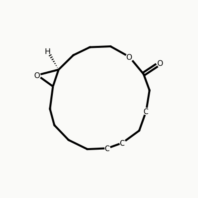 O=C1CCCCCCCCCC2O[C@H]2CCCO1